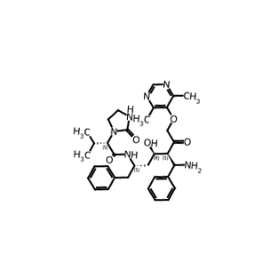 Cc1ncnc(C)c1OCC(=O)[C@@H](C(N)c1ccccc1)[C@H](O)C[C@H](Cc1ccccc1)NC(=O)[C@H](C(C)C)N1CCNC1=O